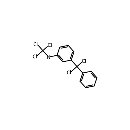 ClC(Cl)(Cl)[N]c1cccc(C(Cl)(Cl)c2ccccc2)c1